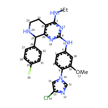 CCNc1nc(Nc2ccc(-n3cnc(Cl)c3)c(OC)c2)nc2c1CCNC2c1ccc(F)cc1